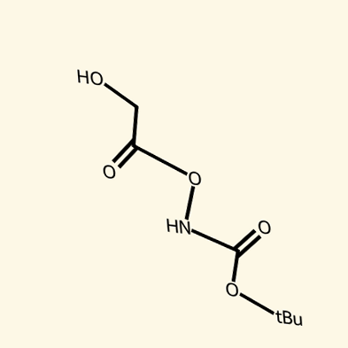 CC(C)(C)OC(=O)NOC(=O)CO